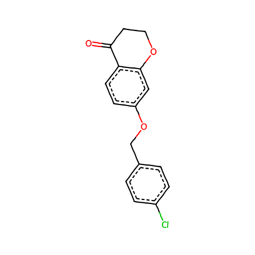 O=C1CCOc2cc(OCc3ccc(Cl)cc3)ccc21